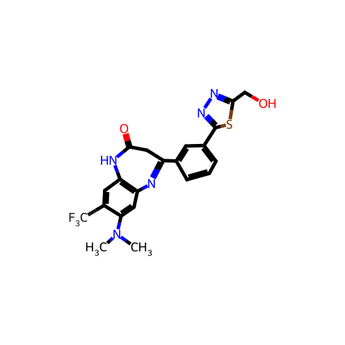 CN(C)c1cc2c(cc1C(F)(F)F)NC(=O)CC(c1cccc(-c3nnc(CO)s3)c1)=N2